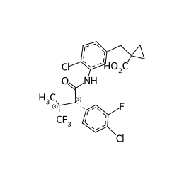 C[C@H]([C@H](C(=O)Nc1cc(CC2(C(=O)O)CC2)ccc1Cl)c1ccc(Cl)c(F)c1)C(F)(F)F